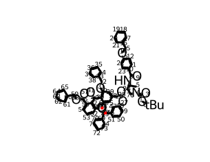 CC(C)(C)OC(=O)N1C[C@H](NC(=O)c2ccc(OCc3ccccc3)cc2)[C@@H](OC(=O)c2cc(OCc3ccccc3)c(C(=O)c3c(OCc4ccccc4)cccc3C(=O)OCc3ccccc3)c(OCc3ccccc3)c2)C1